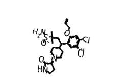 C=CCOc1cc(Cl)c(Cl)cc1C(CC(C)(C)[S+](N)[O-])C1CCN(C2CCNC2=O)CC1